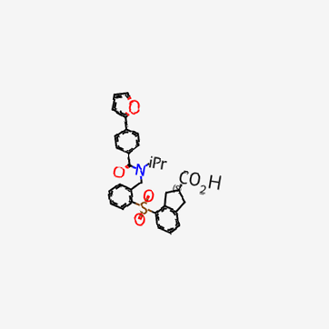 CC(C)N(Cc1ccccc1S(=O)(=O)c1cccc2c1C[C@@H](C(=O)O)C2)C(=O)c1ccc(-c2ccco2)cc1